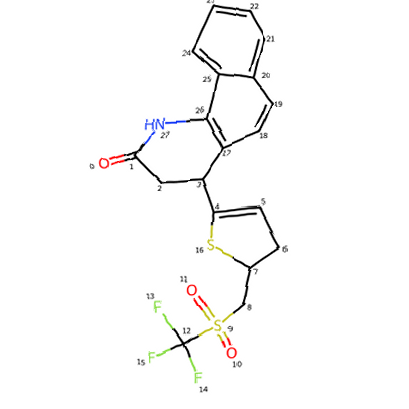 O=C1CC(C2=CCC(CS(=O)(=O)C(F)(F)F)S2)c2ccc3ccccc3c2N1